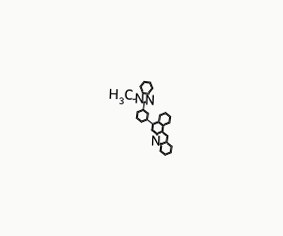 CCn1c(-c2cccc(-c3cc4nc5ccccc5cc4c4ccccc34)c2)nc2ccccc21